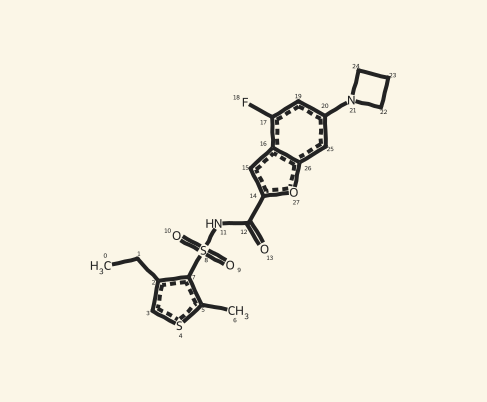 CCc1csc(C)c1S(=O)(=O)NC(=O)c1cc2c(F)cc(N3CCC3)cc2o1